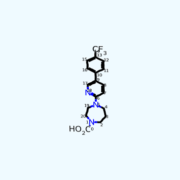 O=C(O)N1CCCN(c2ccc(-c3ccc(C(F)(F)F)cc3)cn2)CC1